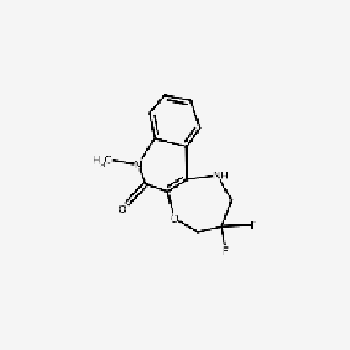 Cn1c(=O)c2c(c3ccccc31)NCC(F)(F)CO2